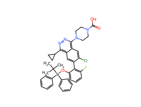 CC(C)(C)[Si](Oc1cccc(F)c1-c1cc2c(C3CC3)nnc(N3CCN(C(=O)O)CC3)c2cc1Cl)(c1ccccc1)c1ccccc1